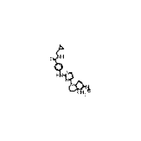 CC12C=C(N=O)C=CC1N(c1ccnc(Nc3ccc(C(=O)NCC4CC4)cc3)n1)CCC2